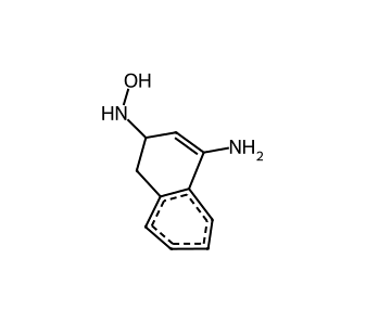 NC1=CC(NO)Cc2ccccc21